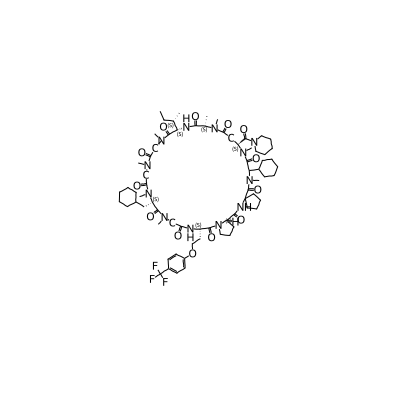 CC[C@H](C)[C@@H]1NC(=O)[C@H](C)N(C)C(=O)C[C@@H](C(=O)N2CCCCC2)N(C)C(=O)C(C2CCCCC2)N(C)C(=O)C2(CCCC2)NC(=O)[C@@H]2CCCN2C(=O)[C@H](CCOc2ccc(C(F)(F)F)cc2)NC(=O)CN(C)C(=O)[C@H](CC2CCCCC2)N(C)C(=O)CN(C)C(=O)CN(C)C1=O